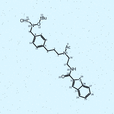 CC(=O)N(CCCc1ccc(CN(C=O)OC(C)(C)C)cc1)CCNC(=O)c1cc2ccccc2s1